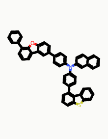 c1ccc(-c2cccc3c2oc2ccc(-c4ccc(N(c5ccc(-c6cccc7sc8ccccc8c67)cc5)c5ccc6ccccc6c5)cc4)cc23)cc1